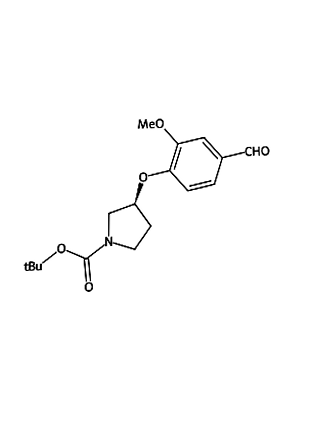 COc1cc(C=O)ccc1O[C@H]1CCN(C(=O)OC(C)(C)C)C1